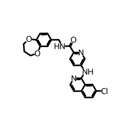 O=C(NCc1ccc2c(c1)OCCCO2)c1ccc(Nc2nccc3ccc(Cl)cc23)cn1